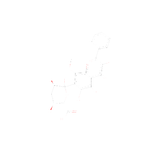 COc1c(C2(O)O[C@H](C(=O)O)[C@@H](O)[C@H](O)[C@H]2O)c(O)c(O)c2c(=O)c(O)c(-c3ccccc3)oc12